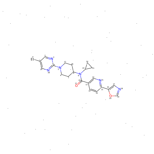 CCc1cnc(N2CCC(N(C(=O)c3ccc(-c4cnco4)nc3)C3CC3)CC2)nc1